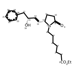 CCOC(=O)CCCCCCN1C(=O)CC[C@H]1C=C[C@H](O)Cc1ccccc1